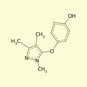 Cc1nn(C)c(Oc2ccc(O)cc2)c1C